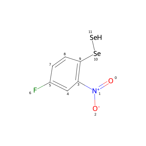 O=[N+]([O-])c1cc(F)ccc1[Se][SeH]